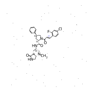 C=NC[C@H](C[C@@H]1CCNC1=O)NC(=O)[C@@H]1C[C@@H](c2ccccc2)CN1C(=O)/C=C/c1ccc(Cl)cc1F